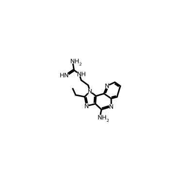 CCc1nc2c(N)nc3cccnc3c2n1CCNC(=N)N